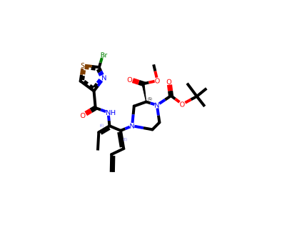 C=C/C=C(\C(=C/C)NC(=O)c1csc(Br)n1)N1CCN(C(=O)OC(C)(C)C)[C@H](C(=O)OC)C1